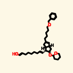 OC=CCCCCCC=C[C@@H]1[C@@H]2CC(CCCCCOCc3ccccc3)=C[C@@H]2C[C@H]1OC1CCCCO1